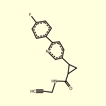 C#CCNC(=O)C1CC1c1ccc(-c2ccc(F)cc2)nc1